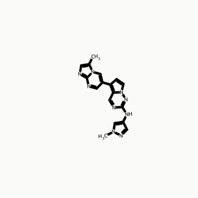 Cc1cnc2ncc(-c3ccn4nc(Nc5cnn(C)c5)ncc34)cn12